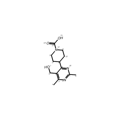 Cc1nc(C)c(CO)c(C2CCN(C(=O)O)CC2)n1